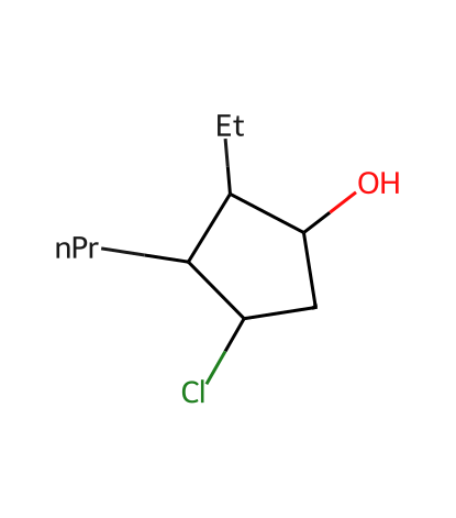 CCCC1C(Cl)CC(O)C1CC